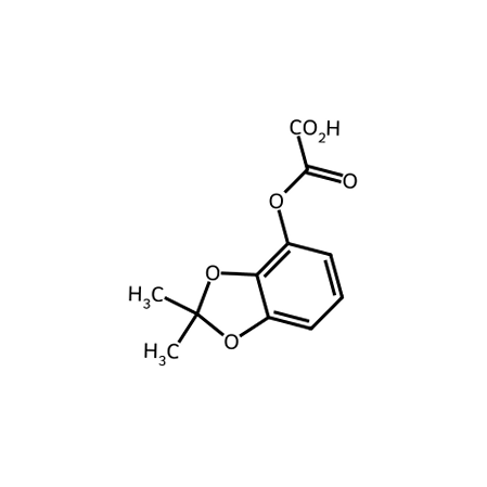 CC1(C)Oc2cccc(OC(=O)C(=O)O)c2O1